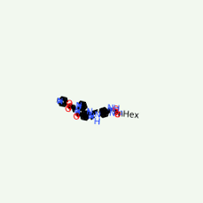 CCCCCCOC(=O)/N=C(\N)c1ccc(NCc2nc3cc(C(=O)N(CCC(=O)OC4CCN(C)CC4)c4ccccn4)ccc3n2C)cc1